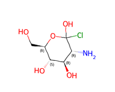 N[C@@H]1[C@@H](O)[C@H](O)[C@@H](CO)OC1(O)Cl